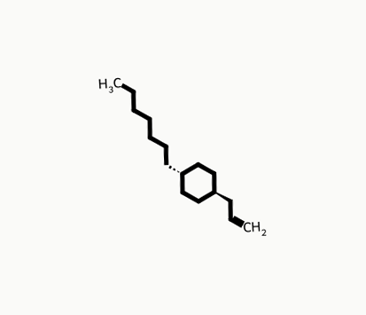 C=CC[C@H]1CC[C@H](CCCCCCC)CC1